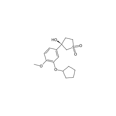 COc1ccc([C@]2(O)CCS(=O)(=O)C2)cc1OC1CCCC1